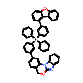 c1ccc([Si](c2ccccc2)(c2cccc(-c3ccc4c(c3)-n3c(nc5ccccc53)OC4)c2)c2cccc(-c3cccc4oc5ccccc5c34)c2)cc1